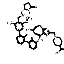 COc1nc(-c2cccc(-c3cccc(NC4=NC(C)=CCc5sc(CN6CCC(C(=O)O)CC6)nc54)c3Cl)c2Cl)cc(C)c1CNC[C@@H]1CCC(=O)N1